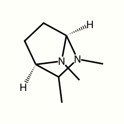 CC1[C@H]2CC[C@@H](N1C)N2C